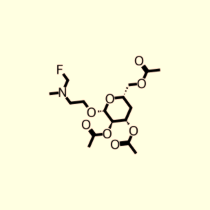 CC(=O)OC[C@@H]1C[C@H](OC(C)=O)[C@@H](OC(C)=O)[C@H](OCCN(C)CF)O1